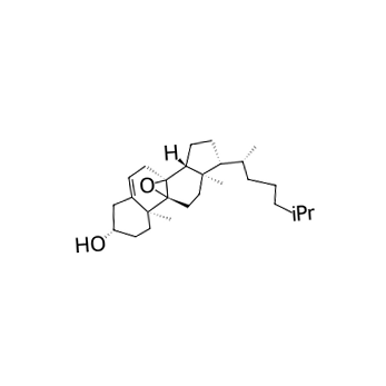 CC(C)CCC[C@@H](C)[C@H]1CC[C@@H]2[C@]1(C)CC[C@@]13O[C@@]21CC=C1C[C@@H](O)CC[C@@]13C